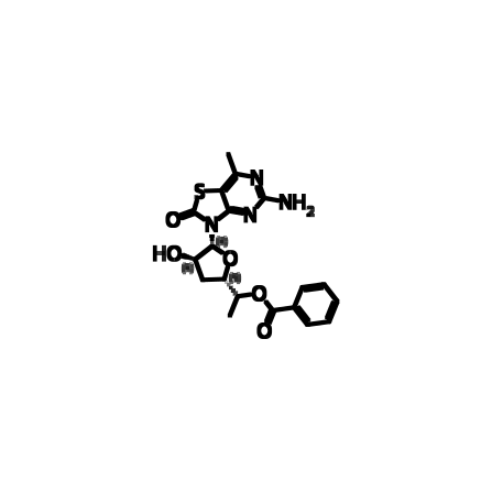 Cc1nc(N)nc2c1sc(=O)n2[C@@H]1O[C@H](C(C)OC(=O)c2ccccc2)C[C@H]1O